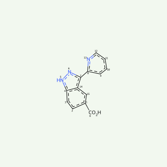 O=C(O)c1ccc2[nH]nc(-c3ccccn3)c2c1